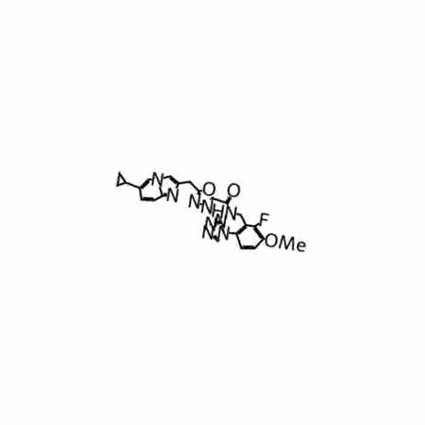 COc1ccc(-n2cnnn2)c(CNC(=O)c2nnc(Cc3cn4cc(C5CC5)ccc4n3)o2)c1F